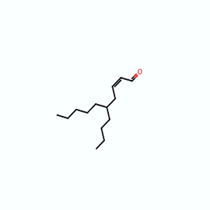 CCCCCC(C/C=C\C=O)CCCC